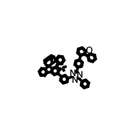 C[Si]1(C)c2ccccc2-c2c3c(cc(-c4cccc(-c5nc(-c6ccccc6)nc(-c6ccc(-c7cccc8oc9ccccc9c78)cc6)n5)c4)c21)-c1ccccc1C31C2CC3CC(C2)CC1C3